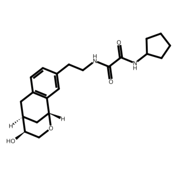 O=C(NCCc1ccc2c(c1)[C@H]1C[C@H](C2)[C@H](O)CO1)C(=O)NC1CCCC1